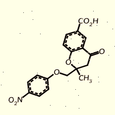 CC1(COc2ccc([N+](=O)[O-])cc2)CC(=O)c2cc(C(=O)O)ccc2O1